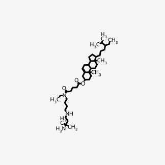 CCC(CCCC1CCC2C3CC=C4CC(OC(=O)CCCC(=O)N(CC)CCCCNCCC(C)(C)N)CCC4(C)C3CCC12C)C(C)C